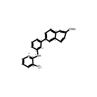 COc1ccc2cc(-c3cccc(Nc4ncccc4[N+](=O)[O-])c3)ccc2c1